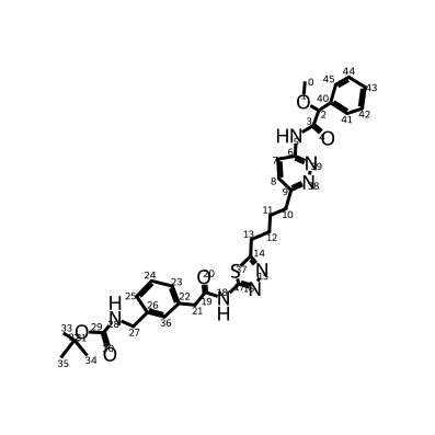 COC(C(=O)Nc1ccc(CCCCc2nnc(NC(=O)Cc3cccc(CNC(=O)OC(C)(C)C)c3)s2)nn1)c1ccccc1